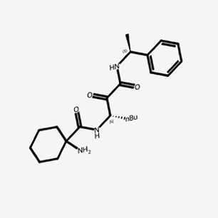 CCCC[C@H](NC(=O)C1(N)CCCCC1)C(=O)C(=O)N[C@@H](C)c1ccccc1